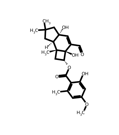 COc1cc(C)c(C(=O)O[C@@H]2C[C@]3(C)[C@H]4CC(C)(C)C[C@@]4(O)C=C(C=O)[C@]23O)c(O)c1